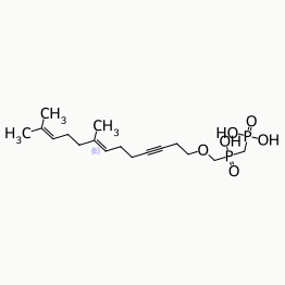 CC(C)=CCC/C(C)=C/CCC#CCCOCP(=O)(O)CP(=O)(O)O